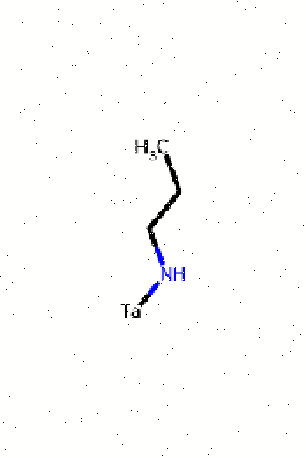 CCC[NH][Ta]